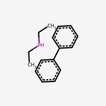 CCPCC.c1ccc(-c2ccccc2)cc1